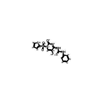 O=c1nc(NC(=S)Nc2ccccc2)c(F)cn1S(=O)(=O)c1cccs1